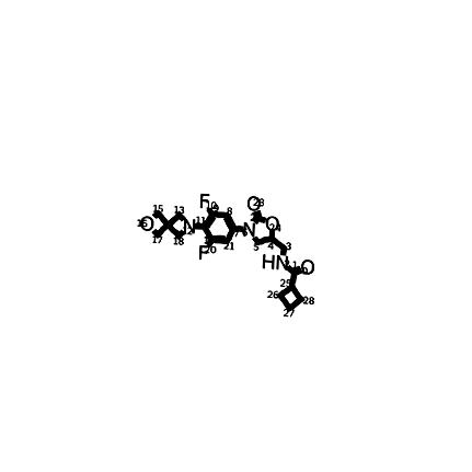 O=C(NCC1CN(c2cc(F)c(N3CC4(COC4)C3)c(F)c2)C(=O)O1)C1CCC1